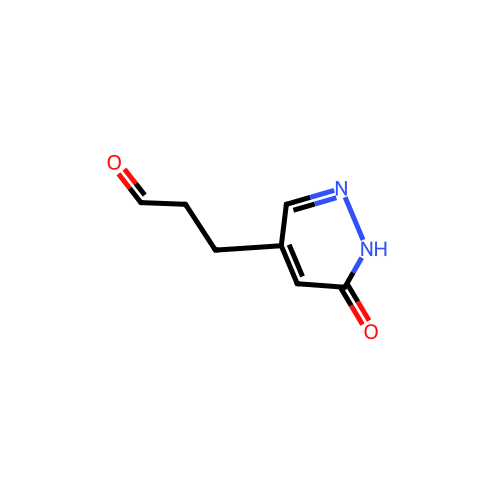 O=CCCc1cn[nH]c(=O)c1